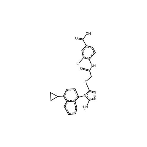 Nc1nnc(SCC(=O)Nc2ccc(C(=O)O)cc2Cl)n1-c1ccc(C2CC2)c2ccccc12